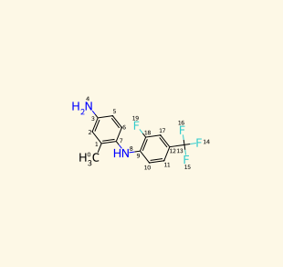 Cc1cc(N)ccc1Nc1ccc(C(F)(F)F)cc1F